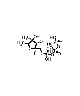 C[C@@H]1O[C@](F)(COP(=O)(O)OP(=O)(O)OP(=O)(O)O)[C@@H](O)[C@@]1(C)O